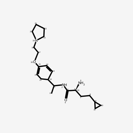 CC(NC(=O)[C@@H](N)CCC1CC1)C1C=CC(OCCN2CCCC2)=CC1